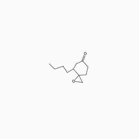 CCCCC1CC(=O)CCC12CO2